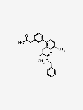 CCN(Cc1cc(C)ccc1-c1cccc(CC(=O)O)c1)C(=O)OCc1ccccc1